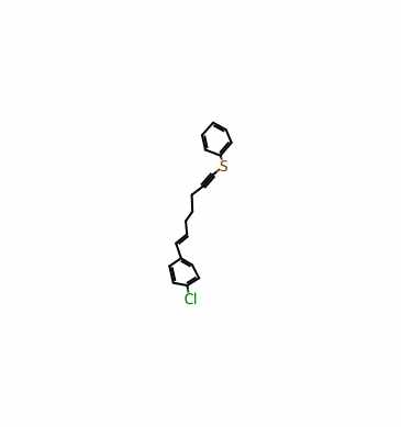 Clc1ccc(/C=C/CCCC#CSc2ccccc2)cc1